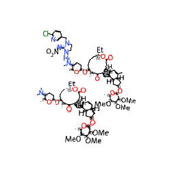 CC[C@H]1CCC[C@H](O[C@H]2CC[C@H](N(C)C)[C@@H](C)O2)[C@@H](C)C(=O)C2=C[C@@H]3[C@@H](C=C(C)[C@@H]4C[C@@H](O[C@@H]5O[C@@H](C)[C@H](OC)[C@@H](OC)[C@H]5OC)C[C@@H]34)[C@@H]2CC(=O)O1.CC[C@H]1CCC[C@H](O[C@H]2CC[C@H](N(C)C)[C@@H](C)O2)[C@@H](C)C(=O)C2=C[C@@H]3[C@@H](C=C[C@@H]4C[C@@H](O[C@@H]5O[C@@H](C)[C@H](OC)[C@@H](OC)[C@H]5OC)C[C@@H]34)[C@@H]2CC(=O)O1.O=[N+]([O-])/N=C1\NCCN1Cc1ccc(Cl)nc1